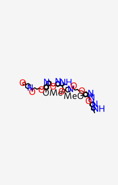 COc1cc2c(Oc3cnc4[nH]c(C)c(C5OCC56CCN(C(=O)CCCOc5cc7ncnc(Oc8cnc9[nH]c(C)cc9c8)c7cc5OC)CC6)c4c3)ccnc2cc1OCCCC(=O)N1CCC2(CC1)COC2